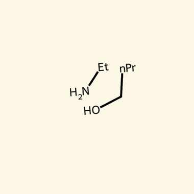 CCCCO.CCN